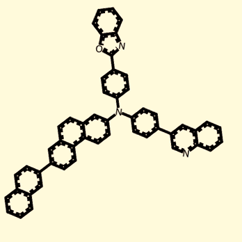 c1ccc2cc(-c3ccc4c(ccc5cc(N(c6ccc(-c7cnc8ccccc8c7)cc6)c6ccc(-c7nc8ccccc8o7)cc6)ccc54)c3)ccc2c1